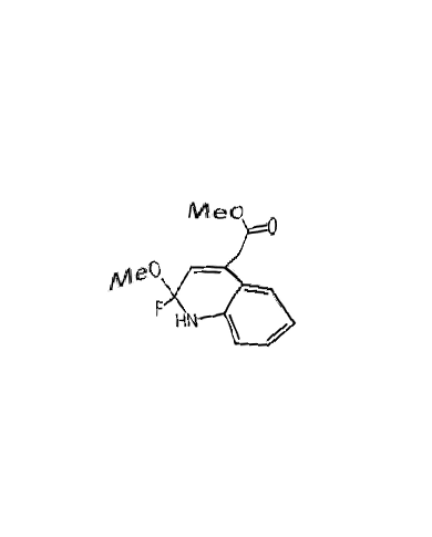 COC(=O)C1=CC(F)(OC)Nc2ccccc21